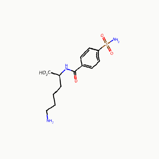 NCCCCC(NC(=O)c1ccc(S(N)(=O)=O)cc1)C(=O)O